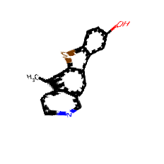 Cc1c2ccncc2cc2c1sc1ccc(O)cc12